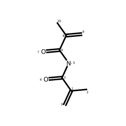 C=C(C)C(=O)[N]C(=O)C(=C)C